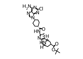 CC(C)(C)OC(=O)C1C[C@H]2Cc3nc(NC(=O)[C@H]4CC[C@@H](n5cnc6c(N)nc(Cl)nc65)CC4)sc3[C@@H](C1)N2